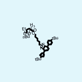 CCCCOC(=O)C(CC)CC(C)(C)C(=O)OCCCCCCn1nc2c(-c3ccc(C(C)(C)C)cc3)ccc(-c3ccc(C(C)(C)C)cc3)c2n1